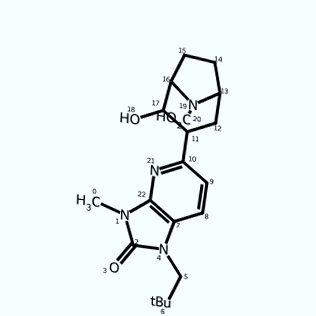 Cn1c(=O)n(CC(C)(C)C)c2ccc(C3CC4CCC(C3O)N4C(=O)O)nc21